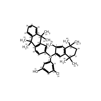 Cc1cc2c(cc1N(c1cc(O)cc(Cl)c1)c1ccc3c(c1)C(C)(C)c1ccccc1C3(C)C)C(C)(C)CCC2(C)C